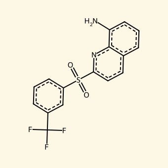 Nc1cccc2ccc(S(=O)(=O)c3cccc(C(F)(F)F)c3)nc12